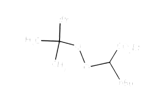 CCCCC(OOC(C)(C)C(C)C)C(=O)OCC